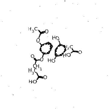 CC(=O)O.CC(=O)O.CC(=O)Oc1cccc(OC(C)=O)c1.Oc1cccc(O)c1